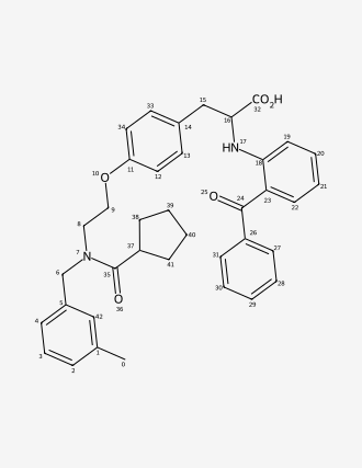 Cc1cccc(CN(CCOc2ccc(CC(Nc3ccccc3C(=O)c3ccccc3)C(=O)O)cc2)C(=O)C2CCCC2)c1